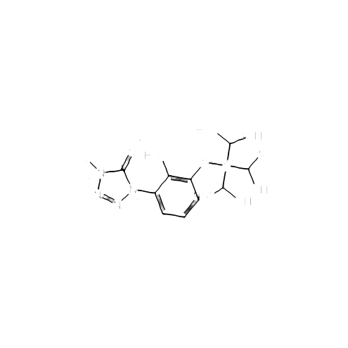 Cc1c(SS(C(C)C)(C(C)C)C(C)C)cccc1-n1nnn(C)c1=O